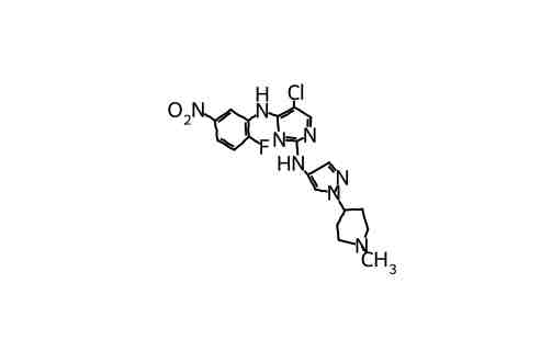 CN1CCC(n2cc(Nc3ncc(Cl)c(Nc4cc([N+](=O)[O-])ccc4F)n3)cn2)CC1